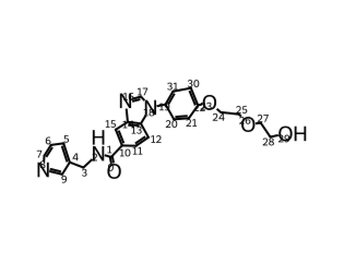 O=C(NCc1cccnc1)c1ccc2c(c1)ncn2-c1ccc(OCCOCCO)cc1